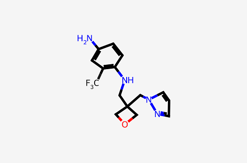 Nc1ccc(NCC2(Cn3cccn3)COC2)c(C(F)(F)F)c1